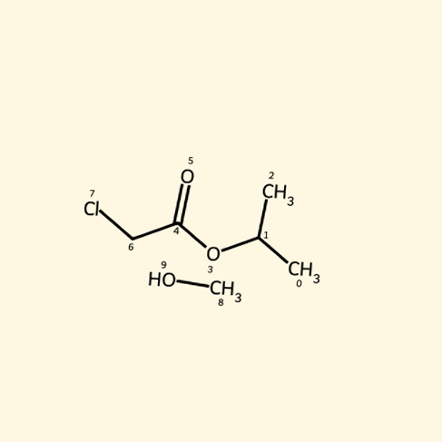 CC(C)OC(=O)CCl.CO